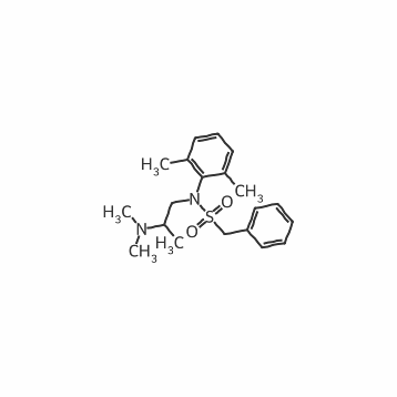 Cc1cccc(C)c1N(CC(C)N(C)C)S(=O)(=O)Cc1ccccc1